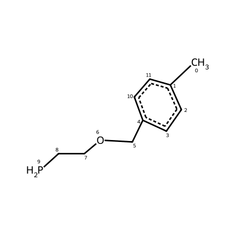 Cc1ccc(COCCP)cc1